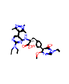 CCN(CC)c1ncc(-c2c(C)nn(C)c2C)c(N[C@@H](Cc2ccc(-c3c(OC)ncn(CC)c3=O)cc2)C(=O)O)n1